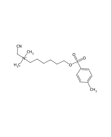 Cc1ccc(S(=O)(=O)OCCCCCC[N+](C)(C)CC#N)cc1